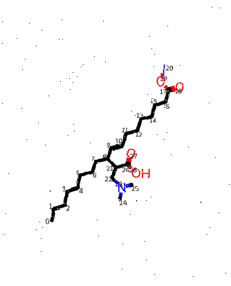 CCCCCCCCC(/C=C/CCCCCCC(=O)OI)C(CN(C)C)C(=O)O